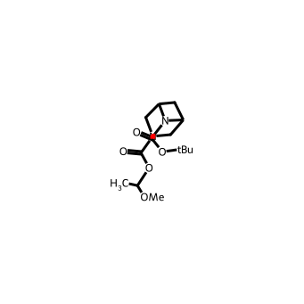 COC(C)OC(=O)N1CC2CC(C1)N2C(=O)OC(C)(C)C